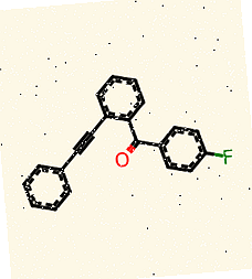 O=C(c1ccc(F)cc1)c1ccccc1C#Cc1ccccc1